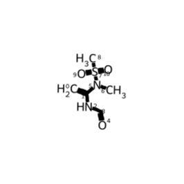 C=C(NC=O)N(C)S(C)(=O)=O